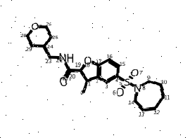 CC1c2cc(S(=O)(=O)N3CCCCCC3)ccc2OC1C(=O)NCC1CCOCC1